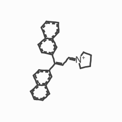 C(C=[N+]1CCCC1)=C(c1ccc2ccccc2c1)c1ccc2ccccc2c1